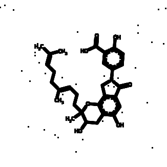 CC(C)=CCC/C(C)=C/CCC1(C)Oc2c(c(O)cc3c2CN(c2ccc(O)c(C(=O)O)c2)C3=O)CC1O